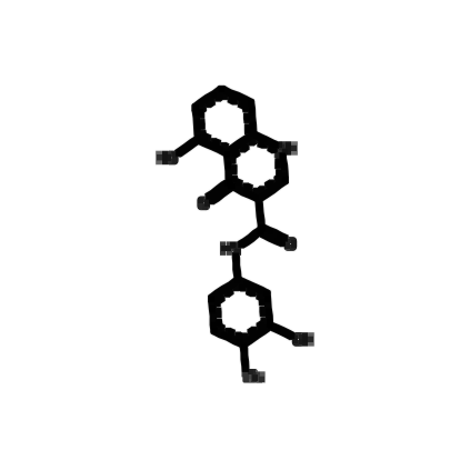 CC(C)(C)c1ccc(NC(=O)c2c[nH]c3cccc(O)c3c2=O)cc1O